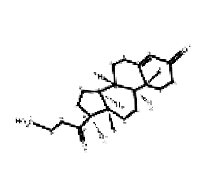 C[C@]12CCC(=O)C=C1CC[C@@H]1[C@@H]2CC[C@@]2(C)[C@H]1CC[C@]2(O)C(=O)CCC(=O)O